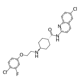 O=C(Nc1ccc2cc(Cl)ccc2n1)[C@H]1CC[C@H](NCCOc2ccc(Cl)c(F)c2)CC1